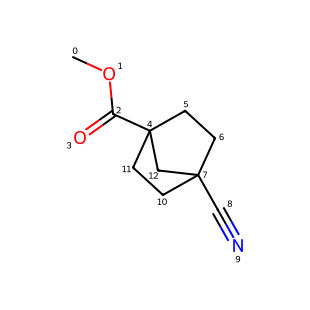 COC(=O)C12CCC(C#N)(CC1)C2